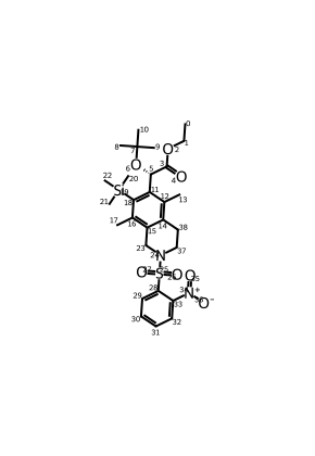 CCOC(=O)[C@@H](OC(C)(C)C)c1c(C)c2c(c(C)c1[Si](C)(C)C)CN(S(=O)(=O)c1ccccc1[N+](=O)[O-])CC2